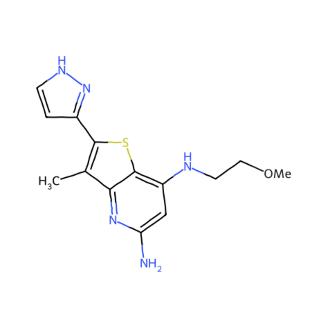 COCCNc1cc(N)nc2c(C)c(-c3cc[nH]n3)sc12